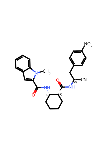 Cn1c(C(=O)N[C@H]2CCCC[C@H]2C(=O)N[C@H](C#N)Cc2ccc([N+](=O)[O-])cc2)cc2ccccc21